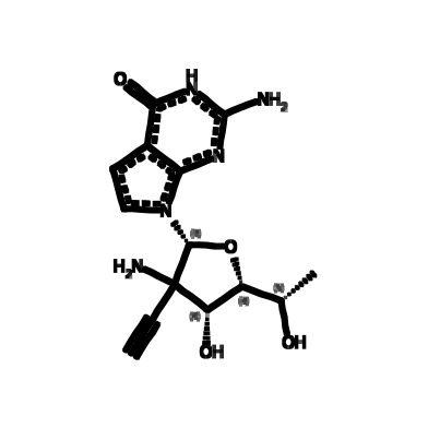 C#CC1(N)[C@@H](O)[C@@H]([C@H](C)O)O[C@H]1n1ccc2c(=O)[nH]c(N)nc21